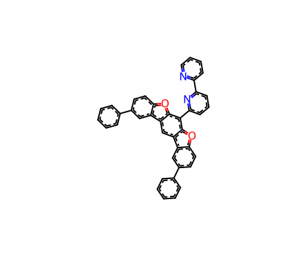 c1ccc(-c2ccc3oc4c(-c5cccc(-c6ccccn6)n5)c5oc6ccc(-c7ccccc7)cc6c5cc4c3c2)cc1